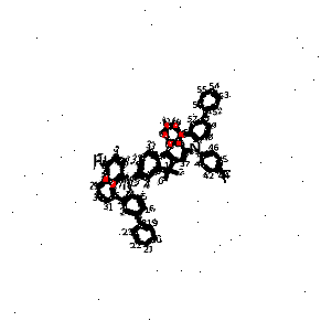 CC1(C)c2cc(N(c3ccc(F)cc3)c3ccc(-c4ccccc4)cc3-c3ccccc3)ccc2-c2c1cc(N(c1ccc(F)cc1)c1ccc(-c3ccccc3)cc1-c1ccccc1)c1ccccc21